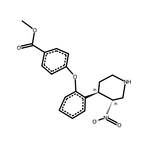 COC(=O)c1ccc(Oc2ccccc2[C@H]2CCNC[C@@H]2[N+](=O)[O-])cc1